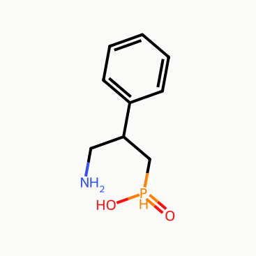 NCC(C[PH](=O)O)c1ccccc1